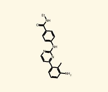 CCNC(=O)c1ccc(Nc2nccc(-c3cccc(N)c3C)n2)cc1